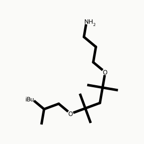 CCC(C)C(C)COC(C)(C)CC(C)(C)OCCCN